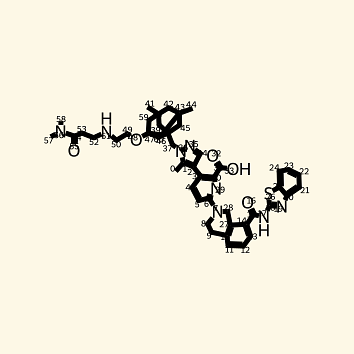 Cc1c(-c2ccc(N3CCc4cccc(C(=O)Nc5nc6ccccc6s5)c4C3)nc2C(=O)O)cnn1CC12CC3(C)CC(C)(C1)CC(OCCNCCC(=O)N(C)C)(C3)C2